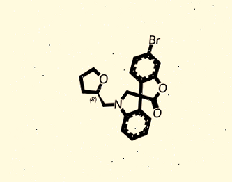 O=C1Oc2cc(Br)ccc2C12CN(C[C@H]1CCCO1)c1ccccc12